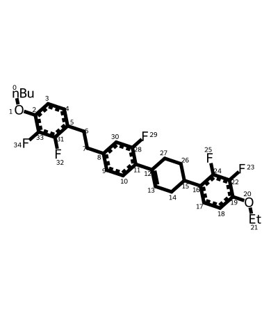 CCCCOc1ccc(CCc2ccc(C3=CCC(c4ccc(OCC)c(F)c4F)CC3)c(F)c2)c(F)c1F